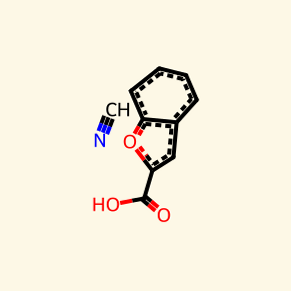 C#N.O=C(O)c1cc2ccccc2o1